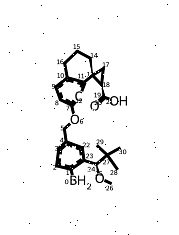 Bc1ccc(COc2ccc3c(c2)[C@]2(CCC3)C[C@H]2C(=O)O)cc1[C@H](OC)C(C)(C)C